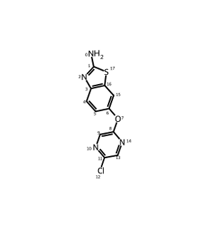 Nc1nc2ccc(Oc3cnc(Cl)cn3)cc2s1